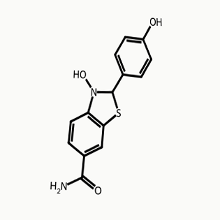 NC(=O)c1ccc2c(c1)SC(c1ccc(O)cc1)N2O